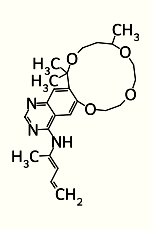 C=C/C=C(\C)Nc1ncnc2cc3c(cc12)OCCOCCOC(C)CCOC3(C)C